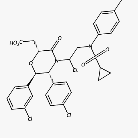 CCC(CN(c1ccc(F)cc1)S(=O)(=O)C1CC1)N1C(=O)[C@@H](CC(=O)O)O[C@H](c2cccc(Cl)c2)[C@H]1c1ccc(Cl)cc1